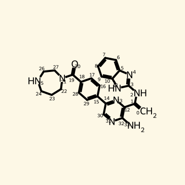 C=C(Nc1nc2ccccc2[nH]1)c1nc(-c2ccc(C(=O)N3CCCNCC3)cc2)cnc1N